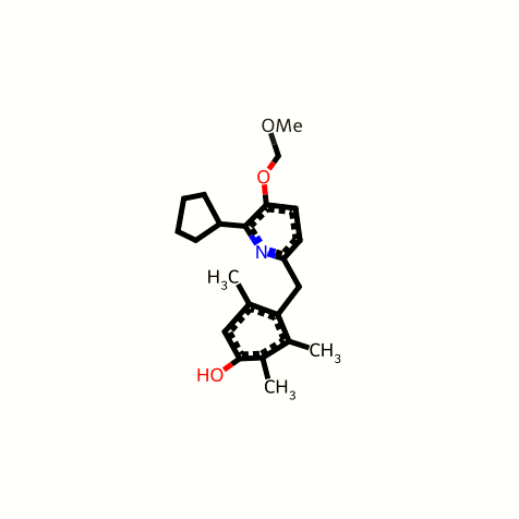 COCOc1ccc(Cc2c(C)cc(O)c(C)c2C)nc1C1CCCC1